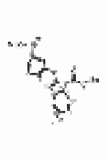 COC(=O)c1ccnc(Cc2cc3cc(C(F)(F)F)cnc3n2C(=O)OC(C)(C)C)c1